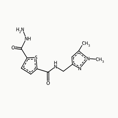 Cc1cc(CNC(=O)c2ccc(C(=O)NN)s2)nn1C